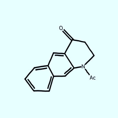 CC(=O)N1CCC(=O)c2cc3ccccc3cc21